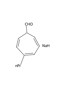 CCCC1=CC=CC(C=O)C=C1.[NaH]